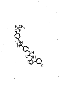 O=C(Nc1ccc(-c2ncn(-c3ccc(OC(F)(F)C(F)(F)F)cc3)n2)cc1)Nc1nccn1-c1cccc(Cl)c1